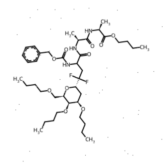 CCCCOC[C@H]1O[C@H](C(F)(F)CC(NC(=O)OCc2ccccc2)C(=O)N[C@@H](C)C(=O)N[C@@H](C)C(=O)OCCCC)C[C@@H](OCCCC)[C@H]1OCCCC